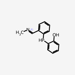 C/N=C/c1ccccc1Pc1ccccc1O